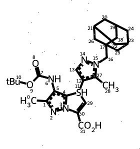 Cc1nn2c(c1NC(=O)OC(C)(C)C)[SH](c1cnn(CC34CC5CC(CC(C5)C3)C4)c1C)C=C2C(=O)O